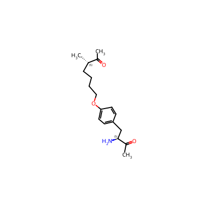 CC(=O)[C@@H](C)CCCCOc1ccc(C[C@H](N)C(C)=O)cc1